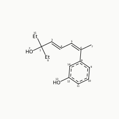 CCC(O)(/C=C/C=C(/C)c1cccc(O)c1)CC